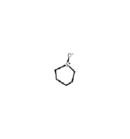 [O-][S+]1CC[CH]CC1